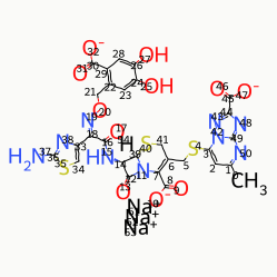 Cc1cc(SCC2=C(C(=O)[O-])N3C(=O)[C@@H](NC(=O)/C(=N\OCc4cc(O)c(O)cc4C(=O)[O-])c4csc(N)n4)[C@H]3SC2)n2nc(C(=O)[O-])nc2n1.[Na+].[Na+].[Na+]